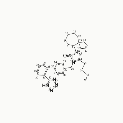 CCCCc1cn(C2CCCCCC2(CC)CC)c(=O)n1Cc1ccc(-c2ccccc2-c2nnn[nH]2)nc1